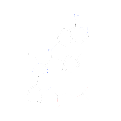 CCc1ccc(F)c(C(Nc2ccc3c(N)nccc3c2)c2nc(-c3ccccc3NC(=O)COC(=O)C(F)(F)F)nn2C)c1